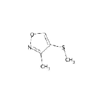 CSc1conc1C